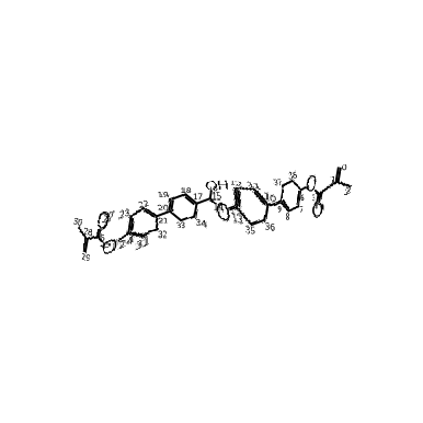 C=C(C)C(=O)OC1=CC=C(C2=CC=C(OC(O)C3=CC=C(C4=CC=C(OC(=O)C(=C)C)CC4)CC3)CC2)CC1